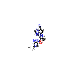 CN1CCC(NC(=O)[C@@H]2CN(c3ccc(C#N)c4nccnc34)CC23CC3)CC1